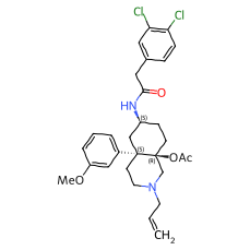 C=CCN1CC[C@@]2(c3cccc(OC)c3)C[C@@H](NC(=O)Cc3ccc(Cl)c(Cl)c3)CC[C@]2(OC(C)=O)C1